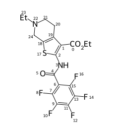 CCOC(=O)c1c(NC(=O)c2c(F)c(F)c(F)c(F)c2F)sc2c1CCN(CC)C2